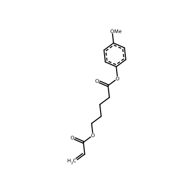 C=CC(=O)OCCCCC(=O)Oc1ccc(OC)cc1